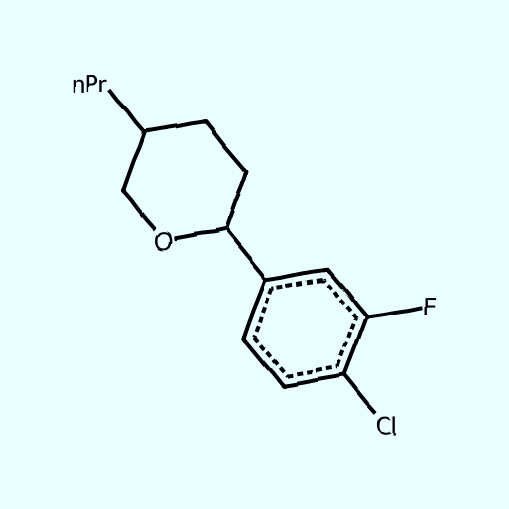 CCCC1CCC(c2ccc(Cl)c(F)c2)OC1